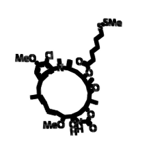 C=C1CC(OC(=O)CCCCCSSC)C2(C)OC2C(C)C2CC(O)(NC(=O)O2)C(OC)/C=C/C=C(\C)Cc2cc(OC)c(Cl)c(c2)N1C